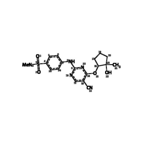 CNS(=O)(=O)c1ccc(Nc2ncc(C#N)c(OC3CCCC3(C)O)n2)cc1